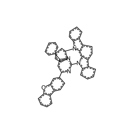 c1ccc(-c2cc(-c3ccc4c(c3)oc3ccccc34)nc(-n3c4ccccc4c4ccc5c6ccccc6n(-c6ccccc6)c5c43)n2)cc1